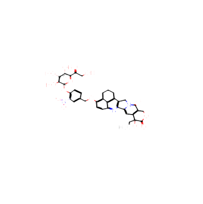 CC[C@@]1(O)C(=O)OCc2c1cc1n(c2=O)Cc2c-1nc1ccc(OCc3ccc(O[C@@H]4OC(C(=O)CO)[C@@H](O)[C@H](O)C4O)c([N+](=O)[O-])c3)c3c1c2CCC3